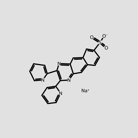 O=S(=O)([O-])c1ccc2cc3nc(-c4ccccn4)c(-c4ccccn4)nc3cc2c1.[Na+]